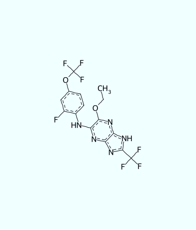 CCOc1nc2[nH]c(C(F)(F)F)nc2nc1Nc1ccc(OC(F)(F)F)cc1F